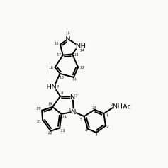 CC(=O)Nc1cccc(-n2nc(Nc3ccc4[nH]ncc4c3)c3ccccc32)c1